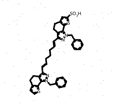 O=S(=O)(O)c1cc2c(s1)-c1c(c(/C=C/CCC/C=C/c3nn(Cc4ccccc4)c4c3CCc3ccsc3-4)nn1Cc1ccccc1)CC2